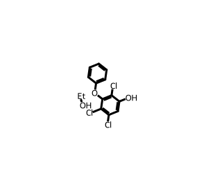 CCO.Oc1cc(Cl)c(Cl)c(Oc2ccccc2)c1Cl